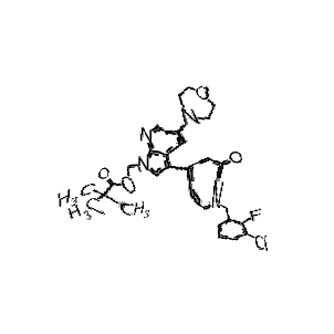 CC(C)(C)C(=O)OCn1cc(-c2ccn(Cc3cccc(Cl)c3F)c(=O)c2)c2cc(N3CCOCC3)cnc21